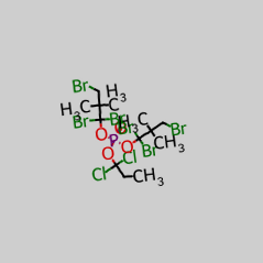 CCC(Cl)(Cl)OP(=O)(OC(Br)(Br)C(C)(C)CBr)OC(Br)(Br)C(C)(C)CBr